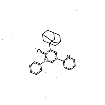 O=c1c(C23CC4CC(CC(C4)C2)C3)cc(-c2ccccn2)cn1-c1ccccc1